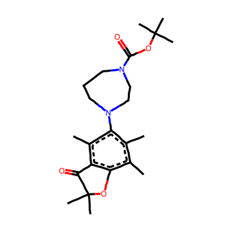 Cc1c(C)c(N2CCCN(C(=O)OC(C)(C)C)CC2)c(C)c2c1OC(C)(C)C2=O